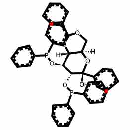 O[C@]1(c2ccccc2)O[C@@H]2CO[C@H](c3ccccc3)O[C@H]2[C@H](OP(c2ccccc2)c2ccccc2)[C@H]1OP(c1ccccc1)c1ccccc1